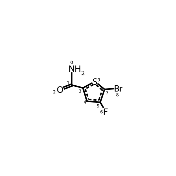 NC(=O)c1cc(F)c(Br)s1